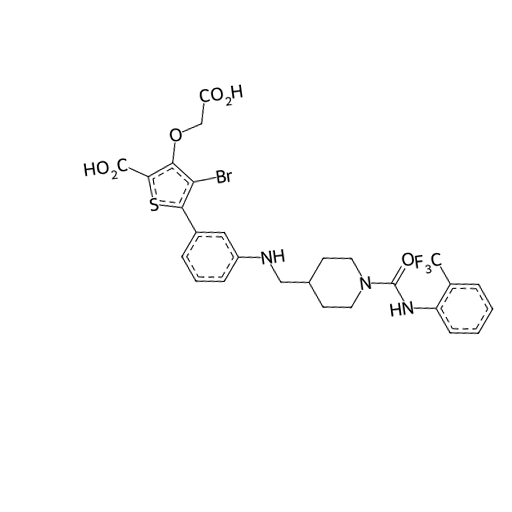 O=C(O)COc1c(C(=O)O)sc(-c2cccc(NCC3CCN(C(=O)Nc4ccccc4C(F)(F)F)CC3)c2)c1Br